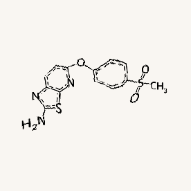 CS(=O)(=O)c1ccc(Oc2ccc3nc(N)sc3n2)cc1